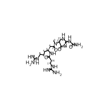 CN(C(=O)C[C@H](CCCNC(=N)N)NC(=O)CCNC(=N)N)C1CNC(NC(N)=O)=NC1=O